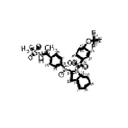 C[C@H](NS(C)(=O)=O)c1ccc(S(=O)(=O)c2cc3ccccc3n2S(=O)(=O)c2ccc(OC(F)(F)F)cc2)cc1